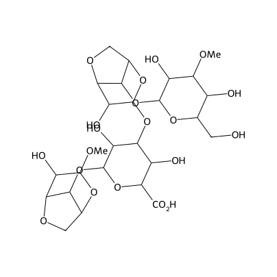 COC1OC2COC(C1O)C2OC1OC(C(=O)O)C(O)C(OC2OC3COC(C2O)C3OC2OC(CO)C(O)C(OC)C2O)C1O